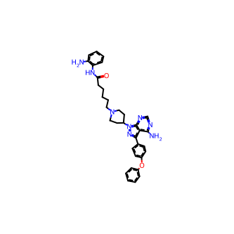 Nc1ccccc1NC(=O)CCCCCN1CCC(n2nc(-c3ccc(Oc4ccccc4)cc3)c3c(N)ncnc32)CC1